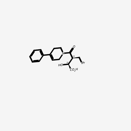 CC(C)C[C@H](C(=O)N1CC=C(c2ccccc2)CC1)[C@H](O)C(=O)O